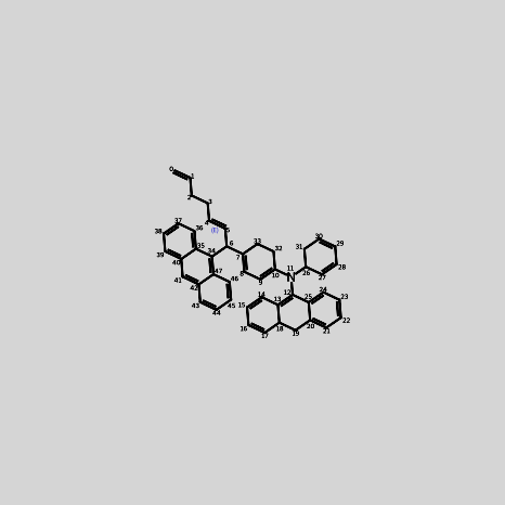 C=CCC/C=C/C(C1=CC=C(N(C2=C3C=CC=CC3Cc3ccccc32)C2C=CC=CC2)CC1)c1c2ccccc2cc2ccccc12